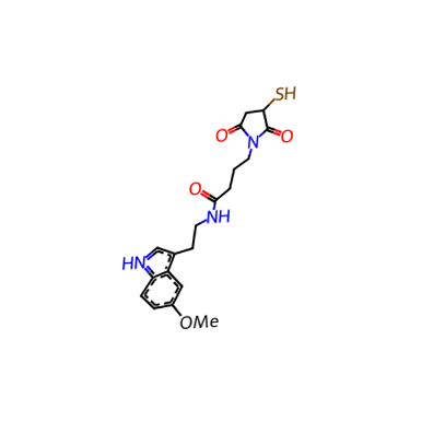 COc1ccc2[nH]cc(CCNC(=O)CCCN3C(=O)CC(S)C3=O)c2c1